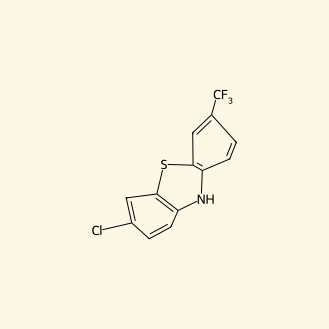 FC(F)(F)c1ccc2c(c1)Sc1cc(Cl)ccc1N2